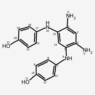 Nc1cc(N)c(Nc2ccc(O)cc2)cc1Nc1ccc(O)cc1